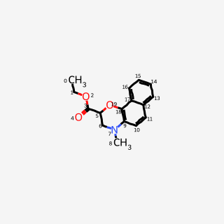 CCOC(=O)C1CN(C)c2ccc3ccccc3c2O1